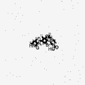 Cc1cc(C)c(N(C)C(=O)c2cc(Br)c3c(c2C)OC(C)(CN2CCN(C(=O)O)CC2)O3)c(=O)[nH]1